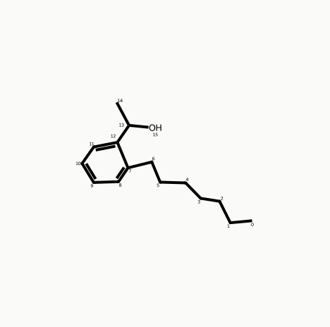 CCCCCCCc1ccccc1C(C)O